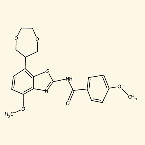 COc1ccc(C(=O)Nc2nc3c(OC)ccc(C4COCCOC4)c3s2)cc1